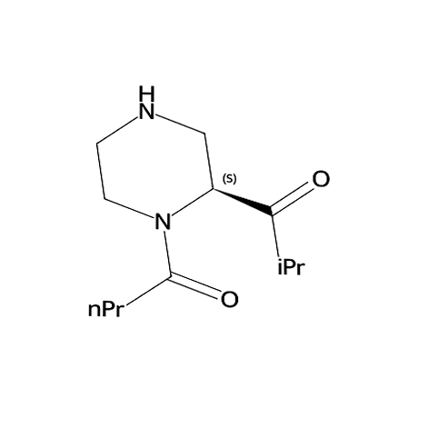 CCCC(=O)N1CCNC[C@H]1C(=O)C(C)C